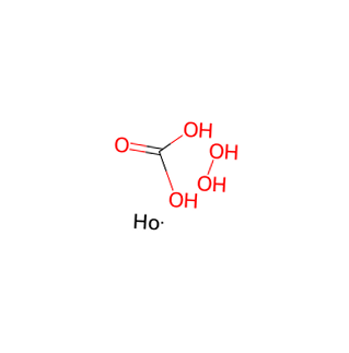 O=C(O)O.OO.[Ho]